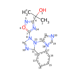 CC(C)(O)c1noc(N2C=NC3c4ccccc4-n4cncc4N32)n1